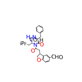 CC(C)CC(C(=O)O)N(C(=O)CC1COc2ccc(C=O)cc21)C(=O)C(N)Cc1ccccc1